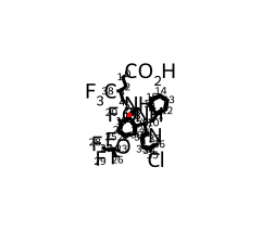 O=C(O)CCC(CNC(=O)N[C@@](Cc1ccccc1)(c1cc(F)cc(OC(F)(F)C(F)F)c1)c1ccc(Cl)cn1)C(F)(F)F